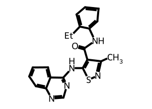 CCc1ccccc1NC(=O)c1c(C)nsc1Nc1ncnc2ccccc12